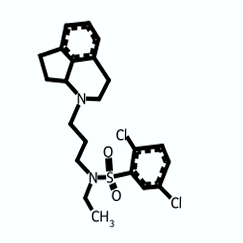 CCN(CCCN1CCc2cccc3c2C1CC3)S(=O)(=O)c1cc(Cl)ccc1Cl